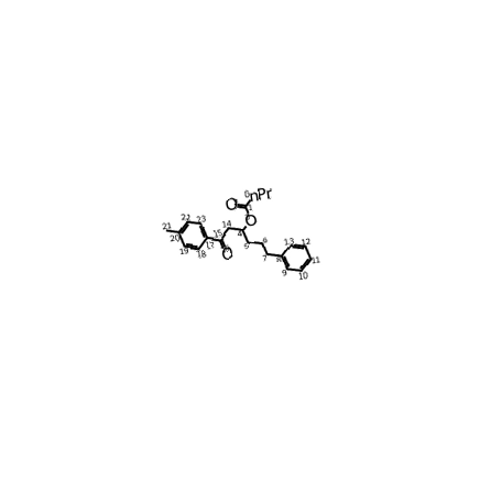 CCCC(=O)OC(CCCc1ccccc1)CC(=O)c1ccc(C)cc1